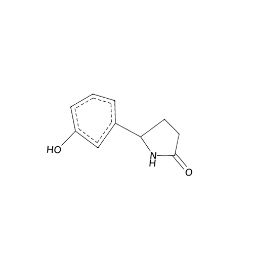 O=C1CCC(c2cccc(O)c2)N1